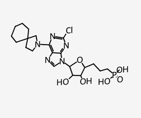 O=P(O)(O)CCCC1OC(n2cnc3c(N4CCC5(CCCCC5)C4)nc(Cl)nc32)C(O)C1O